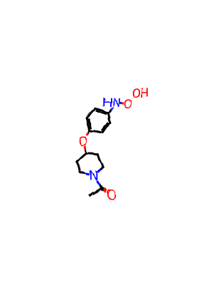 CC(=O)N1CCC(Oc2ccc(NOO)cc2)CC1